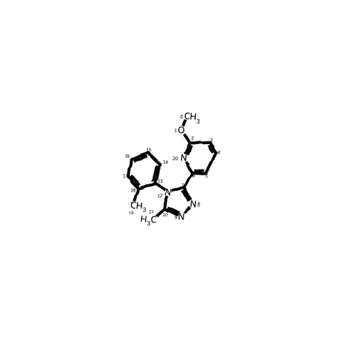 COc1cccc(-c2nnc(C)n2-c2ccccc2C)n1